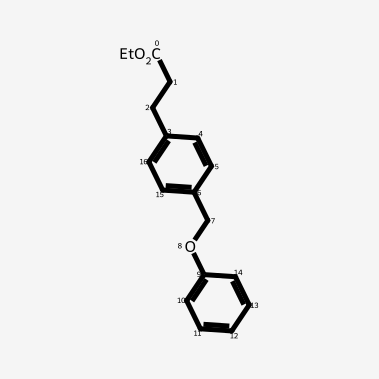 CCOC(=O)CCc1ccc(COc2ccccc2)cc1